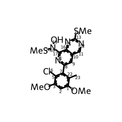 COc1cc(OC)c(Cl)c(-c2cc3cnc(SC)nc3c(N(O)SC)n2)c1C